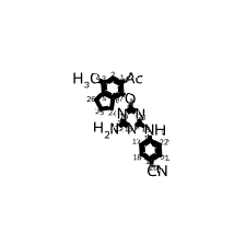 CC(=O)c1cc(C)c2c(c1Oc1nc(N)nc(Nc3ccc(C#N)cc3)n1)CCC2